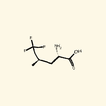 C[C@H](C[C@H](N)C(=O)O)C(F)(F)F